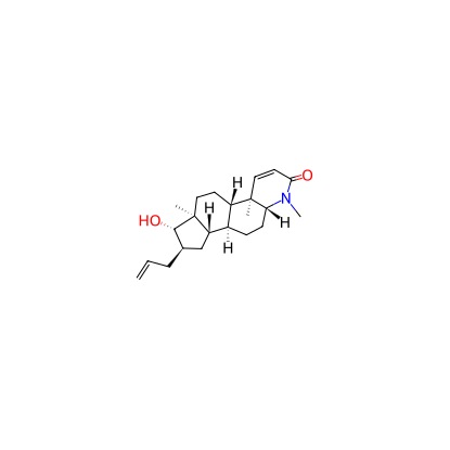 C=CC[C@@H]1C[C@H]2[C@@H]3CC[C@H]4N(C)C(=O)C=C[C@]4(C)[C@H]3CC[C@]2(C)[C@H]1O